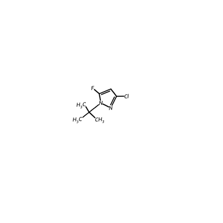 CC(C)(C)n1nc(Cl)cc1F